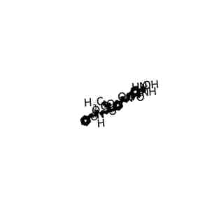 CCOC(=O)C(CCNC(=O)OCc1ccccc1)Oc1ccc(C(=O)CN2C=C3C=CC(C(=N)NO)C(=O)C3C2)cc1